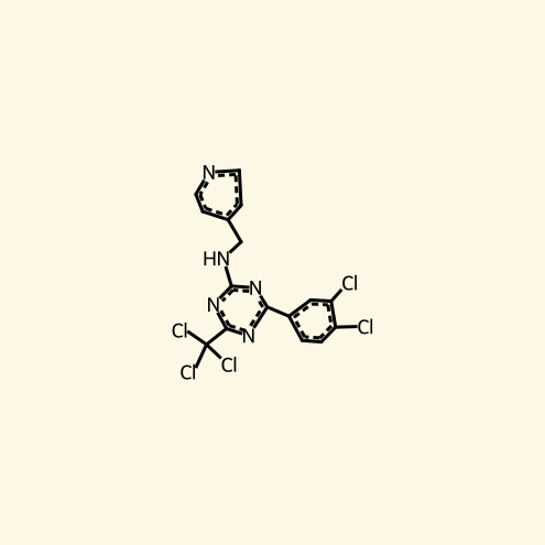 Clc1ccc(-c2nc(NCc3ccncc3)nc(C(Cl)(Cl)Cl)n2)cc1Cl